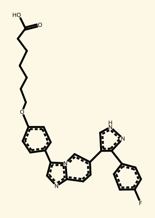 O=C(O)CCCCCCOc1ccc(-c2cnc3ccc(-c4c[nH]nc4-c4ccc(F)cc4)cn23)cc1